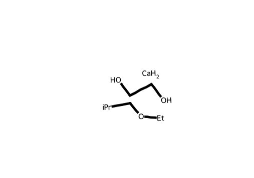 CCOCC(C)C.OCCO.[CaH2]